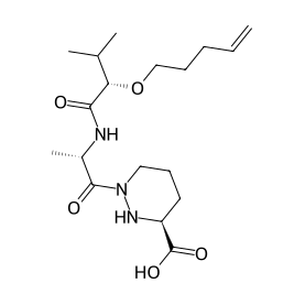 C=CCCCO[C@H](C(=O)N[C@@H](C)C(=O)N1CCC[C@@H](C(=O)O)N1)C(C)C